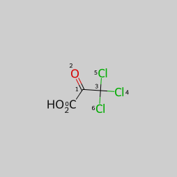 O=C(O)C(=O)C(Cl)(Cl)Cl